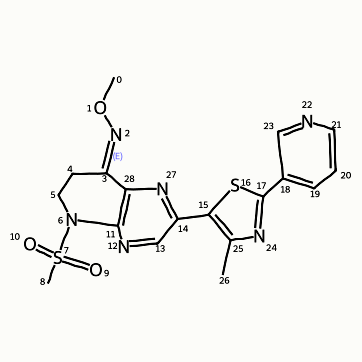 CO/N=C1\CCN(S(C)(=O)=O)c2ncc(-c3sc(-c4cccnc4)nc3C)nc21